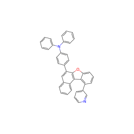 c1ccc(N(c2ccccc2)c2ccc(-c3cc4ccccc4c4c3oc3cccc(-c5cccnc5)c34)cc2)cc1